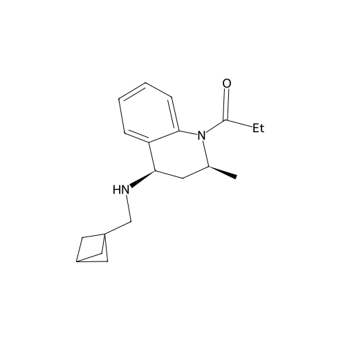 CCC(=O)N1c2ccccc2[C@H](NCC23CC(C2)C3)C[C@@H]1C